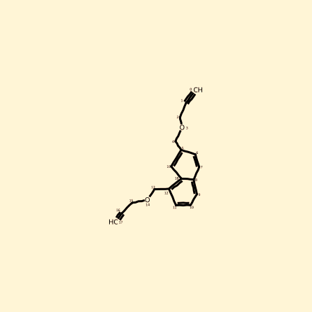 C#CCOCc1ccc2cccc(COCC#C)c2c1